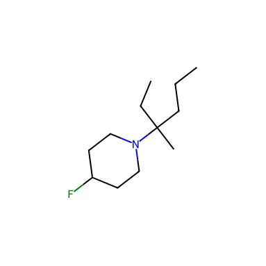 CCCC(C)(CC)N1CCC(F)CC1